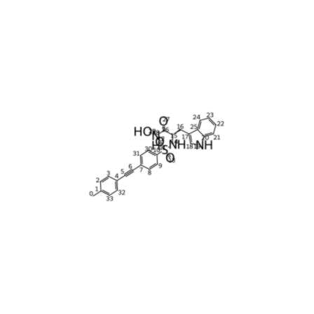 Cc1ccc(C#Cc2ccc(S(=O)(=O)N[C@H](Cc3c[nH]c4ccccc34)C(=O)NO)cc2)cc1